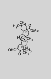 COC(=O)[C@]12CCC(C)(C)CC1C1CC=C3C4C=C(C=O)C(=O)C(C)(C)[C@@H]4CC[C@@]3(C)[C@]1(C)CC2